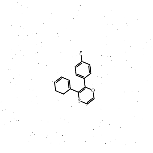 Fc1ccc(C2=C(C3=CC=CCC3)SC=CO2)cc1